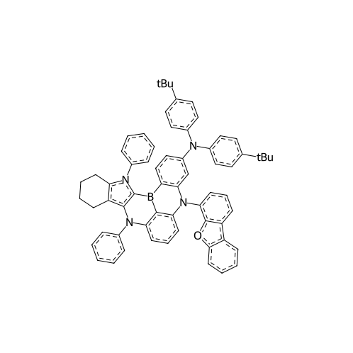 CC(C)(C)c1ccc(N(c2ccc(C(C)(C)C)cc2)c2ccc3c(c2)N(c2cccc4c2oc2ccccc24)c2cccc4c2B3c2c(c3c(n2-c2ccccc2)CCCC3)N4c2ccccc2)cc1